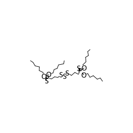 CCCCCCOP(=S)(CCCSSSCCCP(=S)(OCCCCCC)OCCCCCC)OCCCCCC